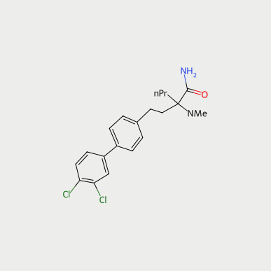 CCCC(CCc1ccc(-c2ccc(Cl)c(Cl)c2)cc1)(NC)C(N)=O